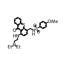 CCN(CC)CCNc1ccc(CNS(=O)(=O)c2ccc(OC)cc2)c2sc3ccccc3c(=O)c12